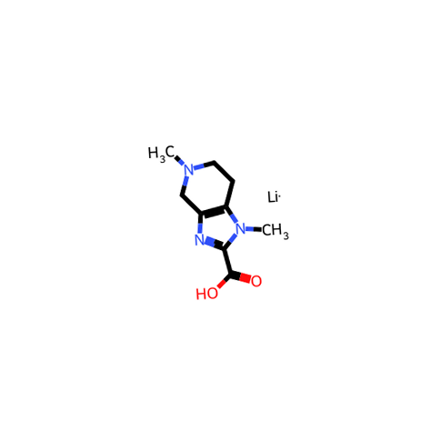 CN1CCc2c(nc(C(=O)O)n2C)C1.[Li]